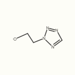 [O]CCn1ncnn1